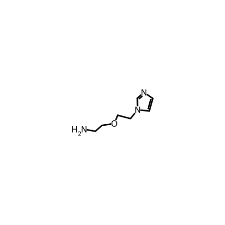 NCCOCCn1ccnc1